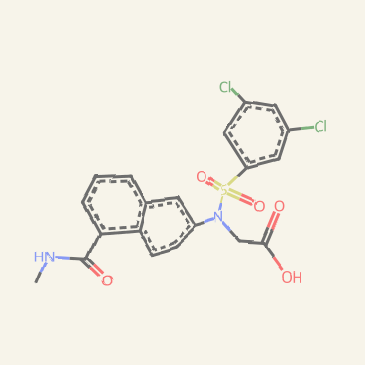 CNC(=O)c1cccc2cc(N(CC(=O)O)S(=O)(=O)c3cc(Cl)cc(Cl)c3)ccc12